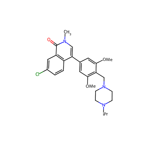 COc1cc(-c2cn(C)c(=O)c3cc(Cl)ccc23)cc(OC)c1CN1CCN(C(C)C)CC1